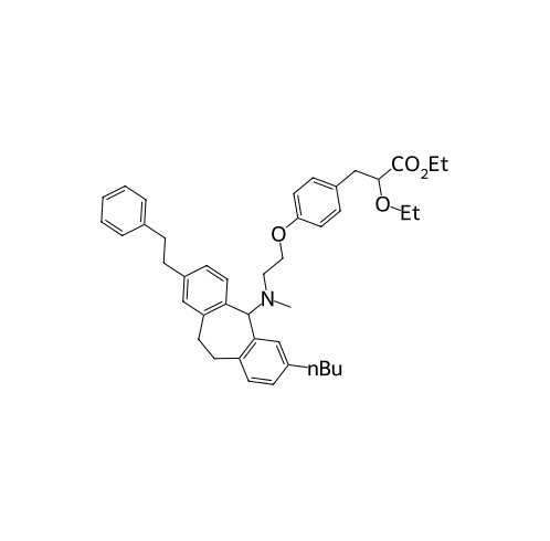 CCCCc1ccc2c(c1)C(N(C)CCOc1ccc(CC(OCC)C(=O)OCC)cc1)c1ccc(CCc3ccccc3)cc1CC2